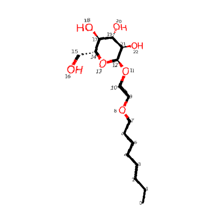 CCCCCCCCOCCO[C@H]1O[C@H](CO)[C@@H](O)[C@H](O)[C@H]1O